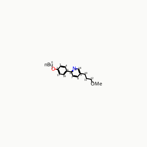 CCCCOc1ccc(-c2ccc(CCCOC)cn2)cc1